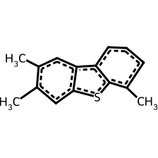 Cc1cc2sc3c(C)cccc3c2cc1C